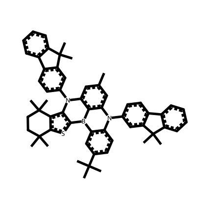 Cc1cc2c3c(c1)N(c1ccc4c(c1)C(C)(C)c1ccccc1-4)c1c(sc4c1C(C)(C)CCC4(C)C)B3c1cc(C(C)(C)C)ccc1N2c1ccc2c(c1)C(C)(C)c1ccccc1-2